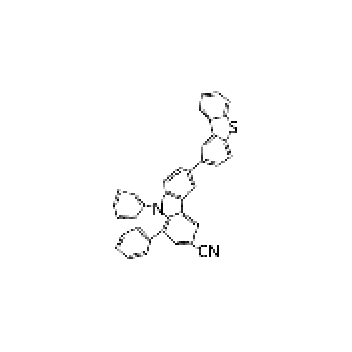 N#Cc1cc(-c2ccccc2)c2c(c1)c1cc(-c3ccc4sc5ccccc5c4c3)ccc1n2-c1ccccc1